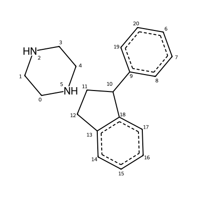 C1CNCCN1.c1ccc(C2CCc3ccccc32)cc1